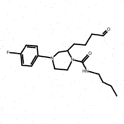 CCCCNC(=O)N1CCN(c2ccc(F)cc2)CC1CCCC=O